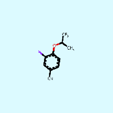 CC(Oc1ccc(C#N)cc1I)C(F)(F)F